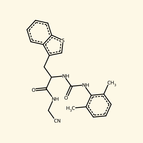 Cc1cccc(C)c1NC(=O)NC(Cc1csc2ccccc12)C(=O)NCC#N